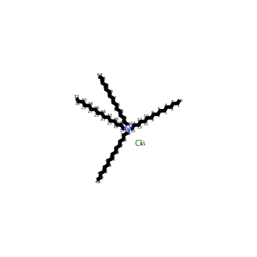 CCCCCCCCCCCCCCCC[N+](CCCCCCCCCCCCCCCC)(CCCCCCCCCCCCCCCC)CCCCCCCCCCCCCCCC.[Cl-]